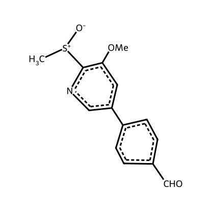 COc1cc(-c2ccc(C=O)cc2)cnc1[S+](C)[O-]